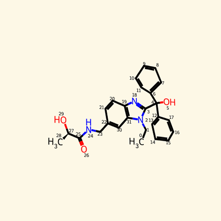 CCn1c(C(O)(c2ccccc2)c2ccccc2)nc2ccc(CNC(=O)[C@@H](C)O)cc21